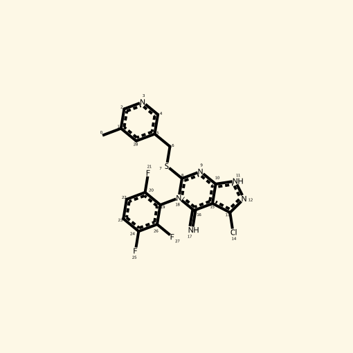 Cc1cncc(CSc2nc3[nH]nc(Cl)c3c(=N)n2-c2c(F)ccc(F)c2F)c1